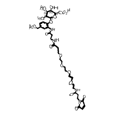 CC(=O)OCc1ccc(O[C@@H]2O[C@H](C(=O)O)[C@H](O)[C@H](O)[C@@H]2O)c(NC(=O)CCNC(=O)CCOCCOCCOCCOCCNC(=O)CCN2C(=O)C=CC2=O)c1